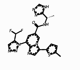 Cc1ccc(-c2cnc3c(-n4nncc4C(F)F)cc(C(=O)N[C@@H](C)c4nnc[nH]4)cn23)s1